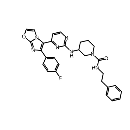 O=C(NCCc1ccccc1)N1CCCC(Nc2nccc(-c3c(-c4ccc(F)cc4)nc4occn34)n2)C1